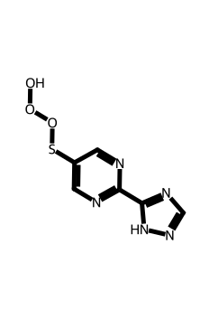 OOOSc1cnc(-c2ncn[nH]2)nc1